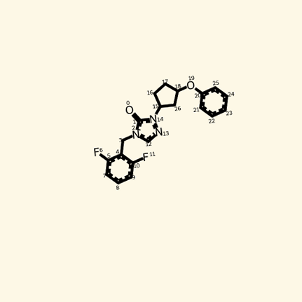 O=c1n(Cc2c(F)cccc2F)cnn1C1CCC(Oc2ccccc2)C1